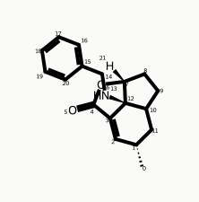 C[C@@H]1C=C2C(=O)O[C@@H]3CCC(C1)[C@]23NCc1ccccc1